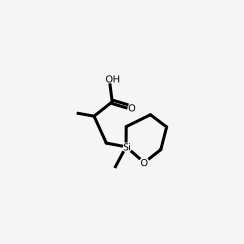 CC(C[Si]1(C)CCCCO1)C(=O)O